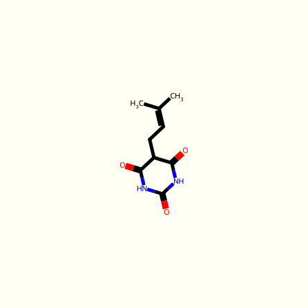 CC(C)=CCC1C(=O)NC(=O)NC1=O